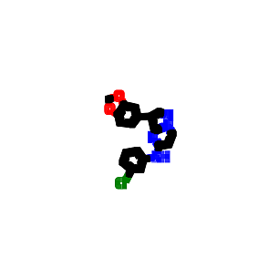 Clc1cccc(Nc2ccn3ncc(-c4ccc5c(c4)OCO5)c3n2)c1